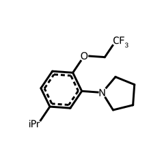 CC(C)c1ccc(OCC(F)(F)F)c(N2CCCC2)c1